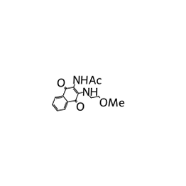 COCCNC1=C(NC(C)=O)C(=O)c2ccccc2C1=O